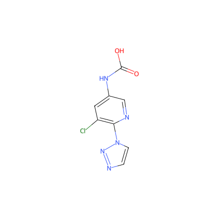 O=C(O)Nc1cnc(-n2ccnn2)c(Cl)c1